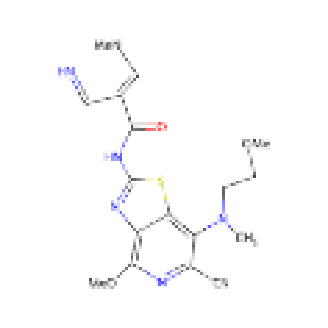 CN/C=C(\C=N)C(=O)Nc1nc2c(OC)nc(C#N)c(N(C)CCOC)c2s1